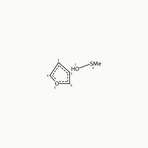 CSO.c1ccoc1